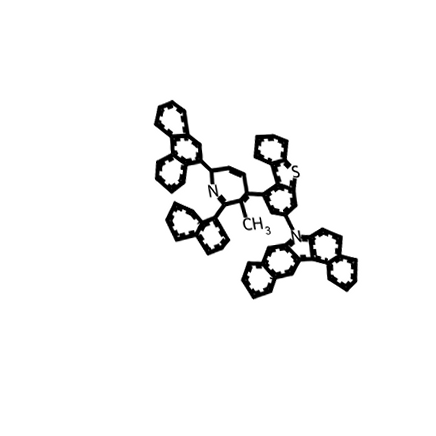 CC1=C(c2cc(-n3c4cc5ccccc5cc4c4c5ccccc5ccc43)cc3sc4ccccc4c23)C=CC(c2cc3ccccc3c3ccccc23)N=C1c1cccc2ccccc12